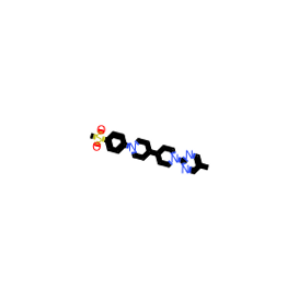 Cc1cnc(N2CCC(C3CCN(c4ccc(S(C)(=O)=O)cc4)CC3)CC2)nc1